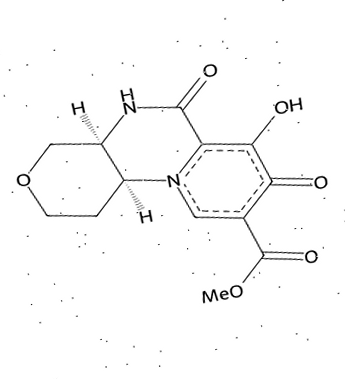 COC(=O)c1cn2c(c(O)c1=O)C(=O)N[C@@H]1COCC[C@@H]12